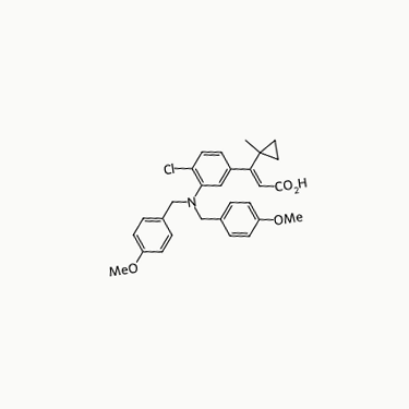 COc1ccc(CN(Cc2ccc(OC)cc2)c2cc(/C(=C/C(=O)O)C3(C)CC3)ccc2Cl)cc1